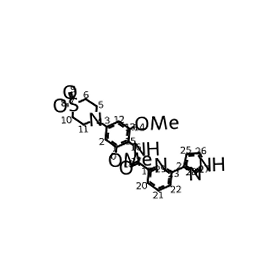 COc1cc(N2CCS(=O)(=O)CC2)cc(OC)c1NC(=O)c1cccc(-c2cc[nH]n2)n1